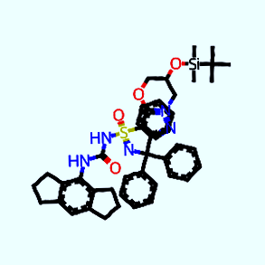 CC(C)(C)[Si](C)(C)OC1COc2c(S(=O)(=NC(c3ccccc3)(c3ccccc3)c3ccccc3)NC(=O)Nc3c4c(cc5c3CCC5)CCC4)cnn2C1